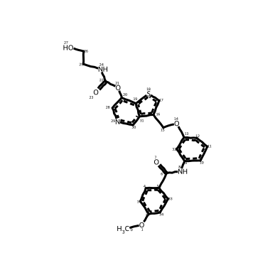 COc1ccc(C(=O)Nc2cccc(OCc3csc4c(OC(=O)NCCO)cncc34)c2)cc1